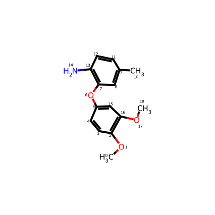 COc1ccc(Oc2cc(C)ccc2N)cc1OC